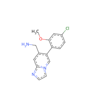 COc1cc(Cl)ccc1-c1cn2ccnc2cc1CN